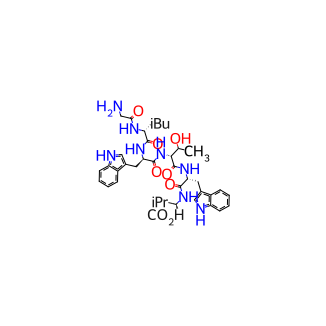 CCC(C)[C@@H](NC(=O)CN)C(=O)N[C@H](Cc1c[nH]c2ccccc12)C(=O)N[C@@H](C(=O)N[C@H](Cc1c[nH]c2ccccc12)C(=O)N[C@@H](C(=O)O)C(C)C)C(C)O